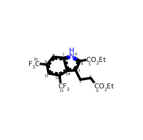 CCOC(=O)CCc1c(C(=O)OCC)[nH]c2cc(C(F)(F)F)cc(C(F)(F)F)c12